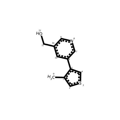 Cc1cscc1-c1cncc(CO)c1